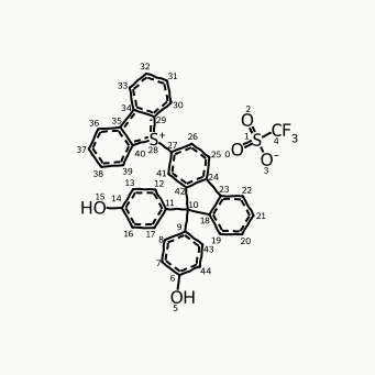 O=S(=O)([O-])C(F)(F)F.Oc1ccc(C2(c3ccc(O)cc3)c3ccccc3-c3ccc(-[s+]4c5ccccc5c5ccccc54)cc32)cc1